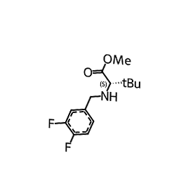 COC(=O)[C@@H](NCc1ccc(F)c(F)c1)C(C)(C)C